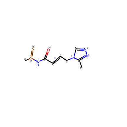 Cc1nncn1C/C=C/C(=O)NS(C)=S